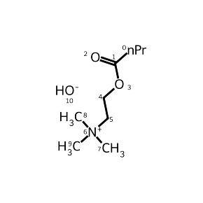 CCCC(=O)OCC[N+](C)(C)C.[OH-]